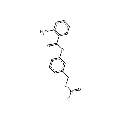 Cc1ccccc1C(=O)Oc1cccc(CO[N+](=O)[O-])c1